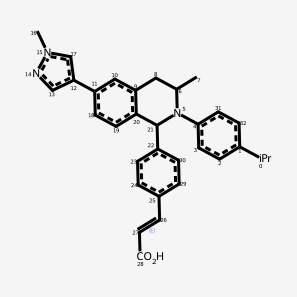 CC(C)c1ccc(N2C(C)Cc3cc(-c4cnn(C)c4)ccc3C2c2ccc(/C=C/C(=O)O)cc2)cc1